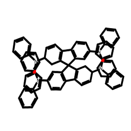 C1=CCCC(N(c2ccccc2)c2ccc3c(c2)C2(C4=C3C=CC(N(c3ccccc3)c3ccccc3)C4)C3=C(C=CC(N(c4ccccc4)c4ccccc4)C3)c3ccc(N(c4ccccc4)c4ccccc4)cc32)=C1